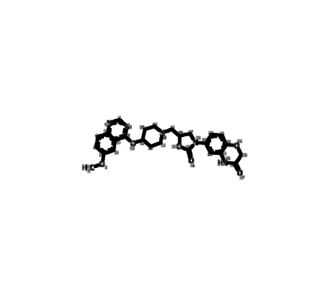 COc1ccc2ncnc(OC3CCN(CC4CN(c5ccc6c(c5)NC(=O)CO6)C(=O)O4)CC3)c2c1